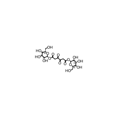 O=C(CC(=O)C(=O)CC(=O)OC1O[C@H](CO)[C@H](O)[C@H](O)[C@H]1O)OC1O[C@H](CO)[C@H](O)[C@H](O)[C@H]1O